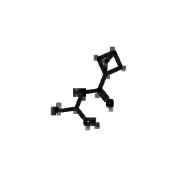 CC(C)C(C)NC(=O)C12CC(C1)C2